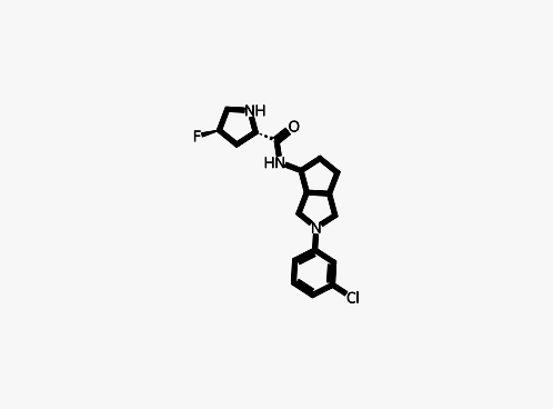 O=C(NC1CCC2CN(c3cccc(Cl)c3)CC21)[C@@H]1C[C@@H](F)CN1